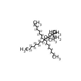 CCCCCCCCC(CCCCCCCC)(CCCCCCCC)OC(C)OC(C)N.Cl